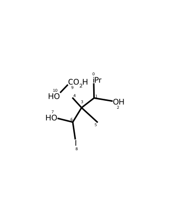 CC(C)C(O)C(C)(C)C(O)I.O=C(O)O